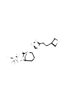 O=C1N2C[C@H](CC[C@H]2c2nnc(CCC3CNC3)o2)N1OS(=O)(=O)O